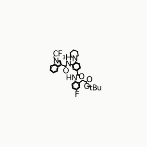 CC(C)(C)OC(=O)Cc1cc(F)ccc1NC(=O)c1ccc(N2CCCCC2)c(NC(=O)c2cn(CC(F)(F)F)c3ccccc23)c1